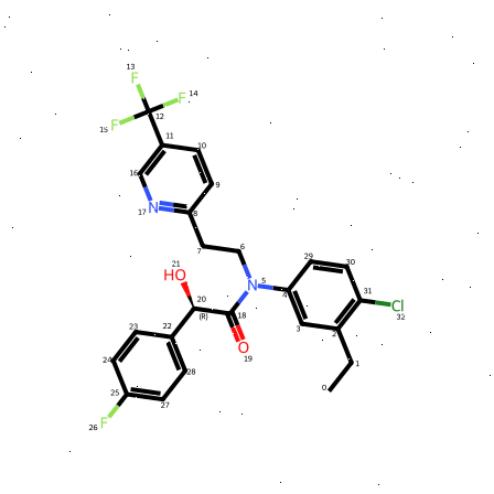 CCc1cc(N(CCc2ccc(C(F)(F)F)cn2)C(=O)[C@H](O)c2ccc(F)cc2)ccc1Cl